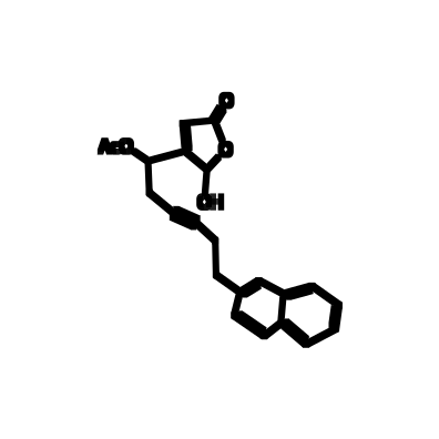 CC(=O)OC(CC#CCCc1ccc2ccccc2c1)C1=CC(=O)OC1O